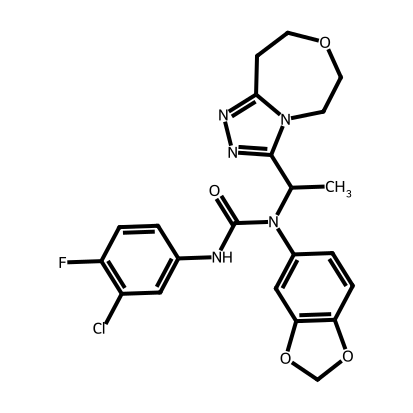 CC(c1nnc2n1CCOCC2)N(C(=O)Nc1ccc(F)c(Cl)c1)c1ccc2c(c1)OCO2